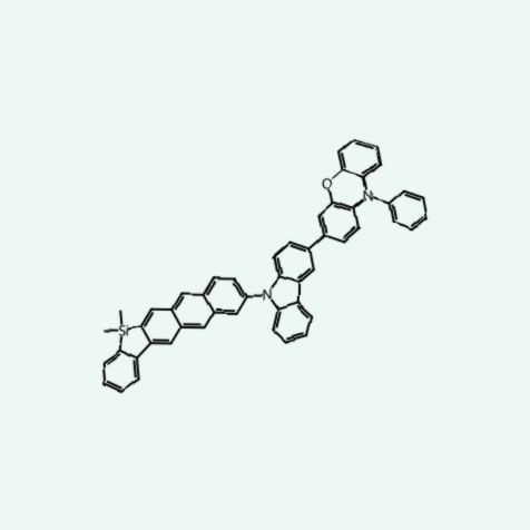 C[Si]1(C)c2ccccc2-c2cc3cc4cc(-n5c6ccccc6c6cc(-c7ccc8c(c7)Oc7ccccc7N8c7ccccc7)ccc65)ccc4cc3cc21